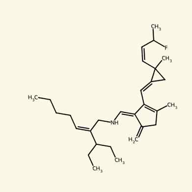 C=C1CC(C)=C(/C=C2\CC2(C)/C=C\C(C)F)/C1=C/NC/C(=C\CCCC)C(CC)CC